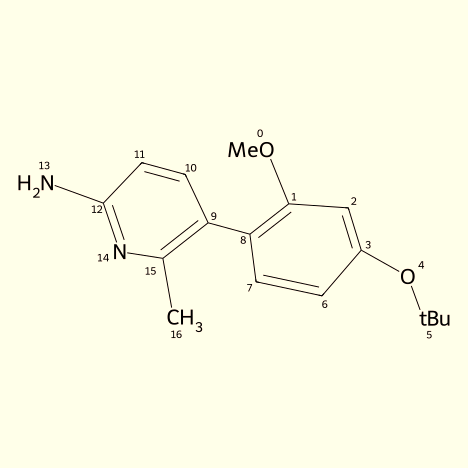 COc1cc(OC(C)(C)C)ccc1-c1ccc(N)nc1C